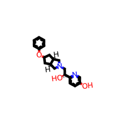 Oc1ccc([C@@H](O)CN2C[C@H]3CC(Oc4ccccc4)C[C@H]3C2)nc1